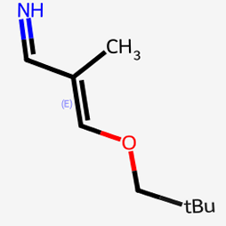 C/C(C=N)=C\OCC(C)(C)C